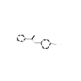 CSc1ccc(CC(=O)c2ccsc2)cc1